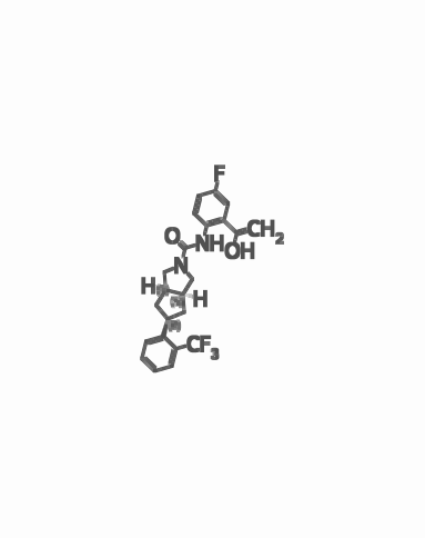 C=C(O)c1cc(F)ccc1NC(=O)N1C[C@H]2C[C@@H](c3ccccc3C(F)(F)F)C[C@H]2C1